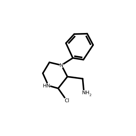 NCC1C(Cl)NCCN1c1ccccc1